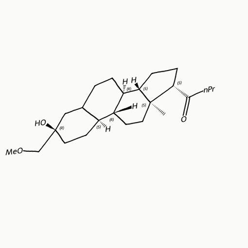 CCCC(=O)[C@H]1CC[C@H]2[C@@H]3CCC4C[C@@](O)(COC)CC[C@@H]4[C@H]3CC[C@]12C